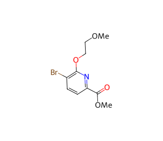 COCCOc1nc(C(=O)OC)ccc1Br